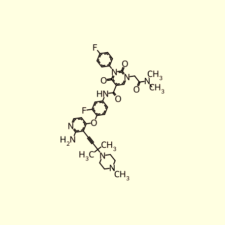 CN1CCN(C(C)(C)C#Cc2c(Oc3ccc(NC(=O)c4cn(CC(=O)N(C)C)c(=O)n(-c5ccc(F)cc5)c4=O)cc3F)ccnc2N)CC1